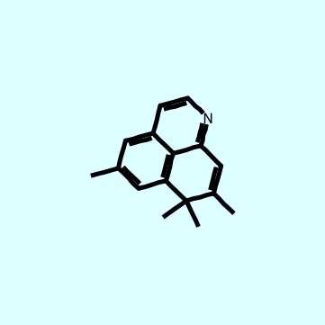 CC1=Cc2nccc3cc(C)cc(c23)C1(C)C